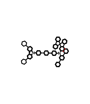 c1ccc(-c2ccc(-c3ccccc3)c(N(c3ccc(-c4ccc(-c5ccc(-n6c7ccc(C8CCCCC8)cc7c7cc(C8CCCCC8)ccc76)cc5)cc4)cc3)c3ccc4c(c3)C3(c5ccccc5-c5ccccc53)c3ccccc3-4)c2)cc1